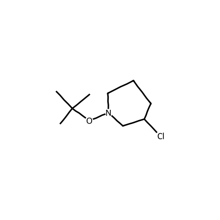 CC(C)(C)ON1CCCC(Cl)C1